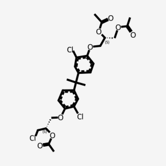 CC(=O)OC[C@H](COc1ccc(C(C)(C)c2ccc(OC[C@@H](CCl)OC(C)=O)c(Cl)c2)cc1Cl)OC(C)=O